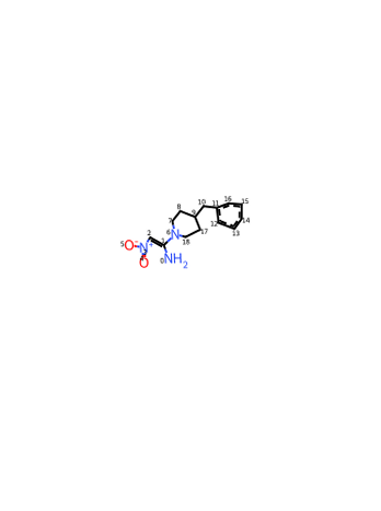 NC(=C[N+](=O)[O-])N1CCC(Cc2ccccc2)CC1